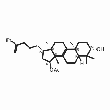 C=C(CCC[C@H]1C[C@H](OC(C)=O)[C@@]2(C)C3=C(CC[C@]12C)[C@@]1(C)CC[C@H](O)C(C)(C)[C@@H]1CC3)C(C)C